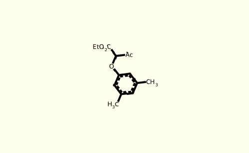 CCOC(=O)C(Oc1cc(C)cc(C)c1)C(C)=O